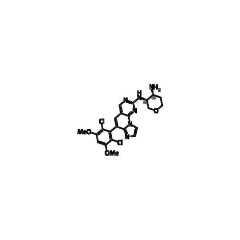 COc1cc(OC)c(Cl)c(-c2cc3cnc(N[C@@H]4COCC[C@@H]4N)nc3n3ccnc23)c1Cl